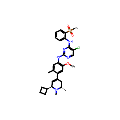 Cc1cc(Nc2ncc(Cl)c(Nc3ccccc3S(=O)(=O)C(C)C)n2)c(OC(C)C)cc1C1=C[C@H](C2CCC2)N(C)[C@@H](C)C1